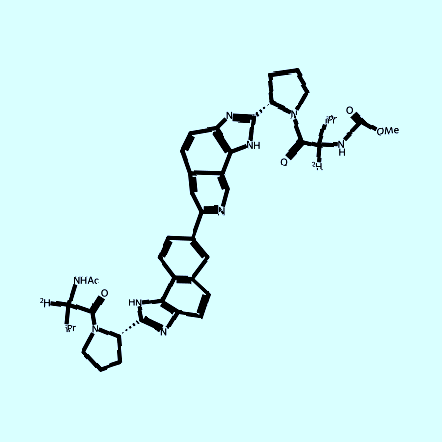 [2H]C(NC(C)=O)(C(=O)N1CCC[C@H]1c1nc2ccc3cc(-c4cc5ccc6nc([C@@H]7CCCN7C(=O)C([2H])(NC(=O)OC)C(C)C)[nH]c6c5cn4)ccc3c2[nH]1)C(C)C